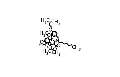 CCCCCCCN(Cc1ccc(OCCC(C)C)cc1)C(Nc1ccc(OC)cc1OC)=C1C(=O)OC(C)(C)OC1=O